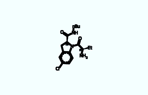 CCCCNC(=O)[C@@H]1Cc2cc(Cl)ccc2N1C(=O)[C@@H](N)CC